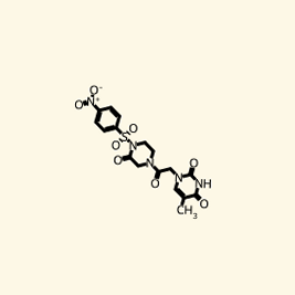 Cc1cn(CC(=O)N2CCN(S(=O)(=O)c3ccc([N+](=O)[O-])cc3)C(=O)C2)c(=O)[nH]c1=O